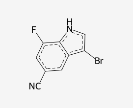 N#Cc1cc(F)c2[nH]cc(Br)c2c1